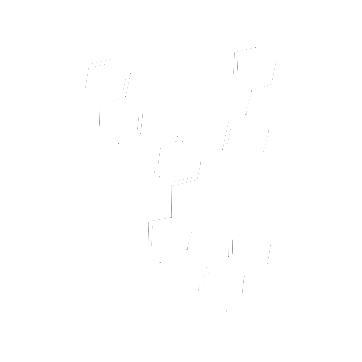 C1=C(c2cccc(-c3cncc4ccccc34)c2)NC(c2ccc3ccccc3c2)N=C1c1cccc(-c2ccccc2)c1